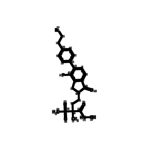 CC(CCN1Cc2c(ccc(-c3ccc(CCBr)cc3)c2F)C1=O)(C(=O)NO)S(C)(=O)=O